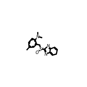 Cc1ccc(N(C)C)c(C[S+]([O-])C2=NC3=CCC=CC3=N2)c1